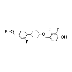 CCOCc1ccc(C2CCC(OCc3ccc(O)c(F)c3F)CC2)c(F)c1